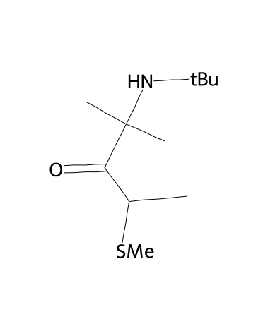 CSC(C)C(=O)C(C)(C)NC(C)(C)C